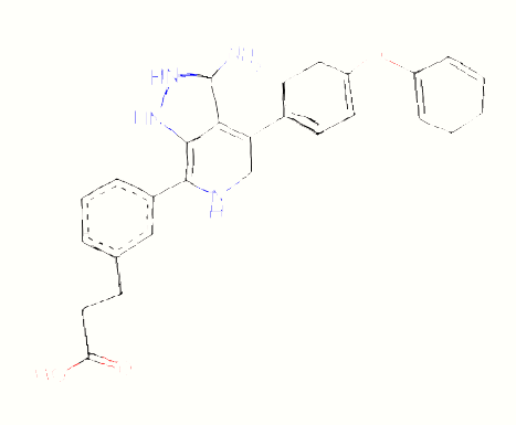 NC1NNC2=C(c3cccc(CCC(=O)O)c3)NCC(C3=CC=C(OC4=CCCC=C4)CC3)=C21